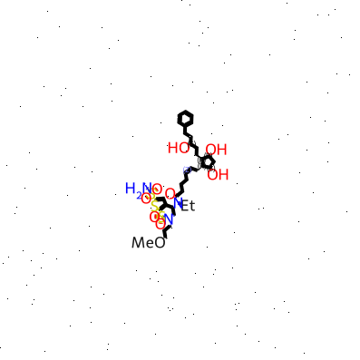 CCN(C(=O)CCC/C=C\C[C@@H]1[C@@H](CC[C@H](O)CCc2ccccc2)[C@H](O)C[C@@H]1O)C1CN(CCCOC)S(=O)(=O)c2sc(S(N)(=O)=O)cc21